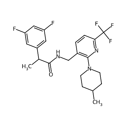 CC1CCN(c2nc(C(F)(F)F)ccc2CNC(=O)C(C)c2cc(F)cc(F)c2)CC1